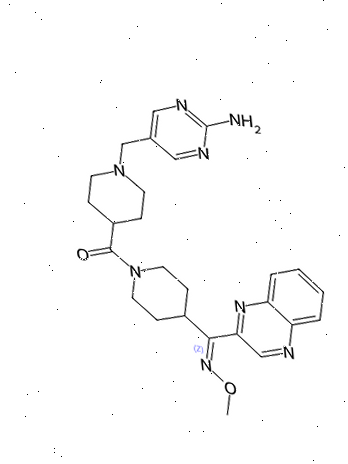 CO/N=C(\c1cnc2ccccc2n1)C1CCN(C(=O)C2CCN(Cc3cnc(N)nc3)CC2)CC1